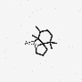 CC(=O)OC1(C)C(C)CCC(C)(C)C12CCCO2